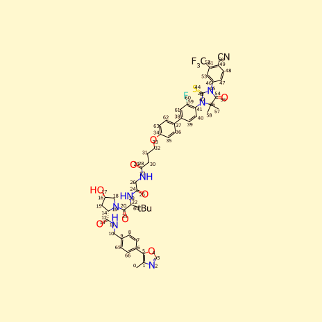 Cc1ncoc1-c1ccc(CNC(=O)[C@@H]2C[C@@H](O)CN2C(=O)[C@@H](NC(=O)CNC(=O)CCCOc2ccc(-c3ccc(N4C(=S)N(c5ccc(C#N)c(C(F)(F)F)c5)C(=O)C4(C)C)c(F)c3)cc2)C(C)(C)C)cc1